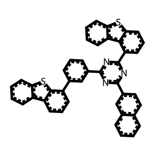 c1cc(-c2nc(-c3ccc4ccccc4c3)nc(-c3cccc4sc5ccccc5c34)n2)cc(-c2cccc3c2sc2ccccc23)c1